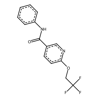 O=C(Nc1ccccc1)c1ccc(OCC(F)(F)F)nc1